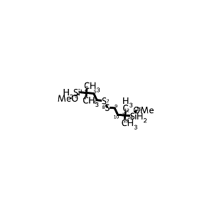 CO[SiH2]C(C)(C)CCSSCCC(C)(C)[SiH2]OC